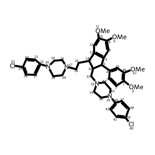 COc1ccc(C2c3cc(OC)c(OC)cc3C(CCN3CCN(c4ccc(Cl)cc4)CC3)C2CN2CCN(c3ccc(Cl)cc3)CC2)cc1OC